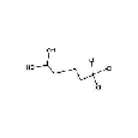 OC(O)CCCC(Cl)(Cl)Cl